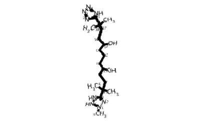 CN1N=C(C(C)(C)CCC(O)CCCC(O)CCC(C)(C)c2nnn[nH]2)NN1